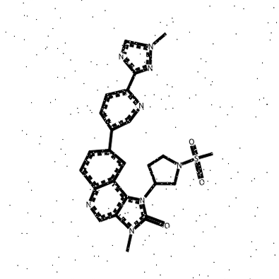 Cn1cnc(-c2ccc(-c3ccc4ncc5c(c4c3)n(C3CCN(S(C)(=O)=O)C3)c(=O)n5C)cn2)n1